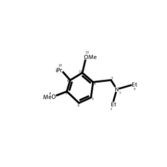 CCN(CC)Cc1ccc(OC)c(C(C)C)c1OC